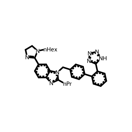 CCCCCCN1CCN=C1c1ccc2nc(CCC)n(Cc3ccc(-c4ccccc4-c4nnn[nH]4)cc3)c2c1